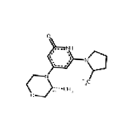 C[C@@H]1COCCN1c1cc(N2CCCC2C(F)(F)F)[nH]c(=O)c1